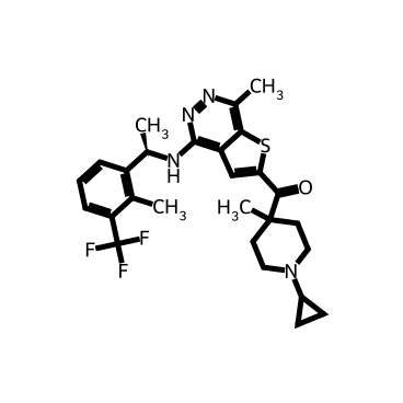 Cc1c([C@@H](C)Nc2nnc(C)c3sc(C(=O)C4(C)CCN(C5CC5)CC4)cc23)cccc1C(F)(F)F